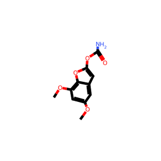 COc1cc(OC)c2oc(OC(N)=O)cc2c1